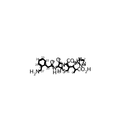 CC(C(=O)O)C(Sn1ncnn1)C1=C(C(=O)O)N2C(=O)C(NC(=O)Cc3ccccc3CN)[C@H]2SC1